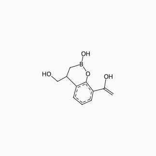 C=C(O)c1cccc2c1OB(O)CC2CO